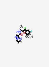 C[C@H](NC(=O)c1cnn2cccnc12)c1oc2c(C(=O)O)cc(F)cc2c1Cl